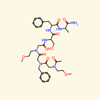 COCCN(CC(=O)N(CC(=O)N(CCOC)CC(=O)NC(CO)C(=O)NC(Cc1ccccc1)C(=O)NC(C)C(N)=O)Cc1ccccc1)C(C)=O